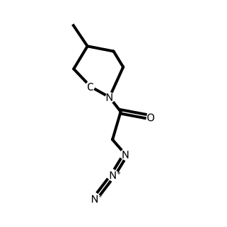 CC1CCN(C(=O)CN=[N+]=[N-])CC1